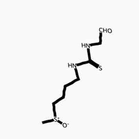 C[S+]([O-])CCCCNC(=S)NCC=O